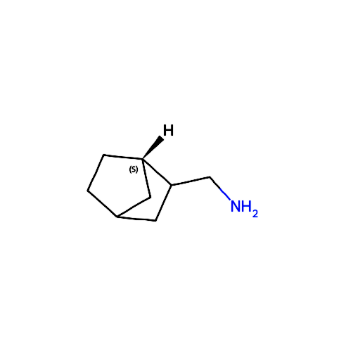 NCC1CC2CC[C@H]1C2